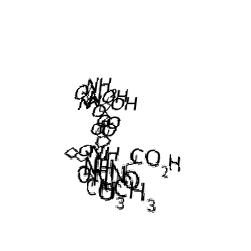 CC(NC(=O)CCC(=O)O)C(=O)NC(C)C(=O)NC(Cc1ccccc1)C(=O)Nc1ccc2c(c1)COP(=O)(OCC1OC(n3cnc(C(N)=O)n3)C(O)C1O)O2